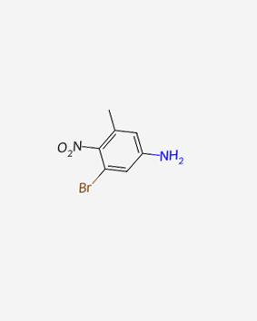 Cc1cc(N)cc(Br)c1[N+](=O)[O-]